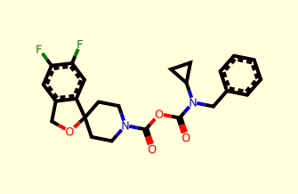 O=C(OC(=O)N(Cc1ccccc1)C1CC1)N1CCC2(CC1)OCc1cc(F)c(F)cc12